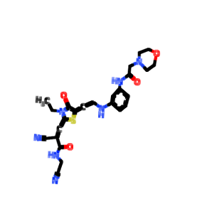 CCn1c(=C=C(C#N)C(=O)NCC#N)sc(=C=CNc2cccc(NC(=O)CN3CCOCC3)c2)c1=O